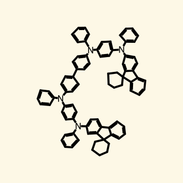 c1ccc(N(c2ccc(-c3ccc(N(c4ccccc4)c4ccc(N(c5ccccc5)c5ccc6c(c5)C5(CCCCC5)c5ccccc5-6)cc4)cc3)cc2)c2ccc(N(c3ccccc3)c3ccc4c(c3)C3(CCCCC3)c3ccccc3-4)cc2)cc1